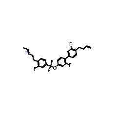 C=CCCc1ccc(-c2ccc(OC(F)(F)c3ccc(CC/C=C/C)c(F)c3)cc2F)cc1F